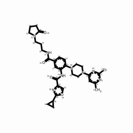 CCc1nc(C)cc(N2CCN(c3ccc(C(=O)NCCCN4CCCC4=O)cc3NC(=O)c3coc(C4CC4)n3)CC2)n1